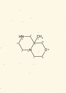 CC12CNCCN1CCOC2